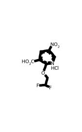 Cl.O=C(O)c1cc([N+](=O)[O-])cnc1OCC(F)F